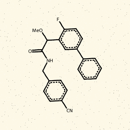 COC(C(=O)NCc1ccc(C#N)cc1)c1cc(-c2ccccc2)ccc1F